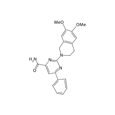 COc1cc2c(cc1OC)CN(c1nc(C(N)=O)cc(-c3ccccc3)n1)CC2